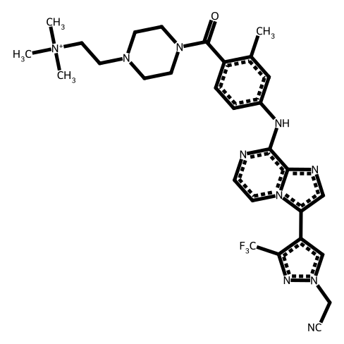 Cc1cc(Nc2nccn3c(-c4cn(CC#N)nc4C(F)(F)F)cnc23)ccc1C(=O)N1CCN(CC[N+](C)(C)C)CC1